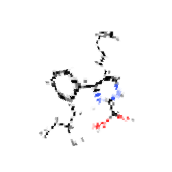 CCCCc1cnc(C(=O)O)nc1-c1ccccc1C[C@@H](C)CC